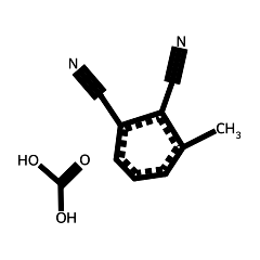 Cc1cccc(C#N)c1C#N.O=C(O)O